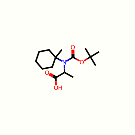 CC(C(=O)O)N(C(=O)OC(C)(C)C)C1(C)CCCCC1